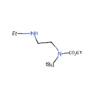 CCNCCN(C(=O)OCC)C(C)(C)C